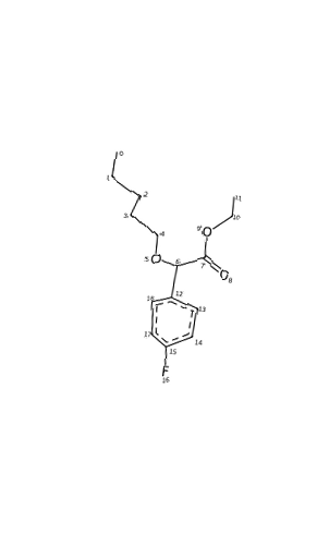 CCCCCOC(C(=O)OCC)c1ccc(F)cc1